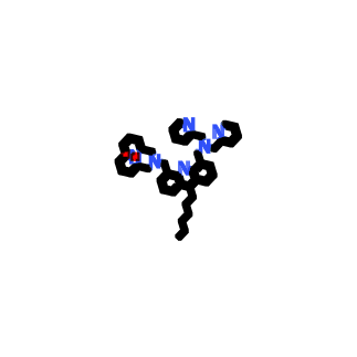 CCCCCCc1c2cccc(CN(Cc3ccccn3)Cc3ccccn3)c2nc2c(CN(Cc3ccccn3)Cc3ccccn3)cccc12